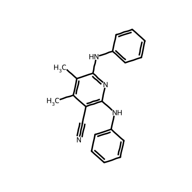 Cc1c(Nc2ccccc2)nc(Nc2ccccc2)c(C#N)c1C